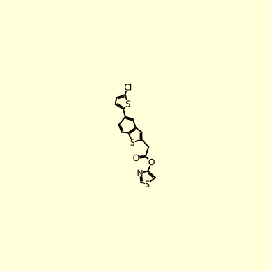 O=C(Cc1cc2cc(-c3ccc(Cl)s3)ccc2s1)Oc1cscn1